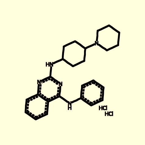 Cl.Cl.c1ccc(Nc2nc(NC3CCC(N4CCCCC4)CC3)nc3ccccc23)cc1